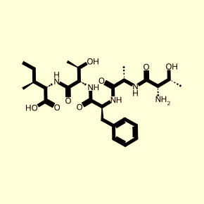 CC[C@H](C)[C@H](NC(=O)[C@@H](NC(=O)[C@H](Cc1ccccc1)NC(=O)[C@H](C)NC(=O)[C@@H](N)[C@@H](C)O)[C@@H](C)O)C(=O)O